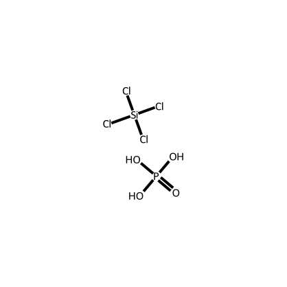 Cl[Si](Cl)(Cl)Cl.O=P(O)(O)O